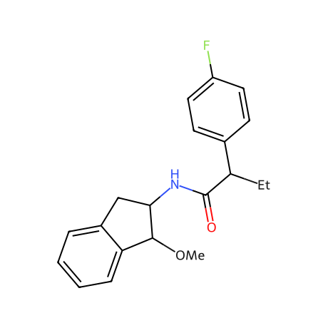 CCC(C(=O)NC1Cc2ccccc2C1OC)c1ccc(F)cc1